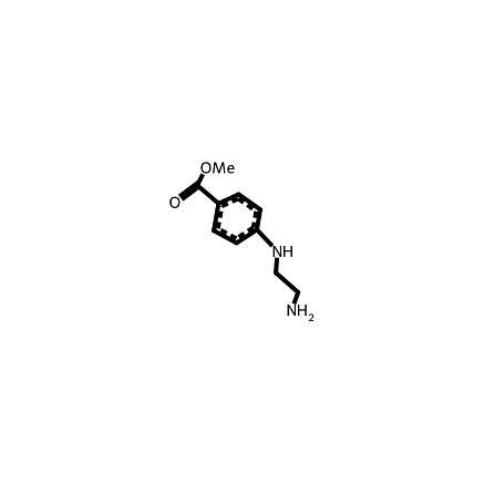 COC(=O)c1ccc(NCCN)cc1